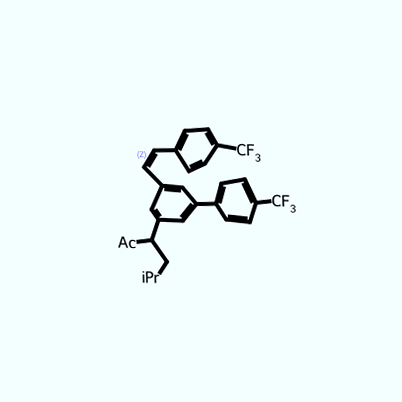 CC(=O)C(CC(C)C)c1cc(/C=C\c2ccc(C(F)(F)F)cc2)cc(-c2ccc(C(F)(F)F)cc2)c1